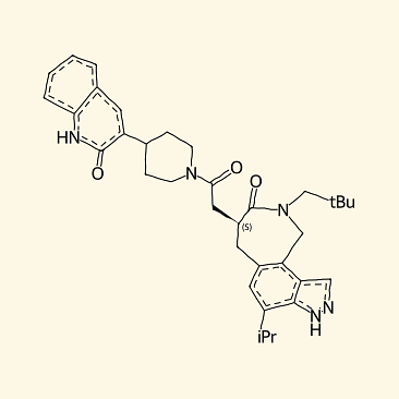 CC(C)c1cc2c(c3cn[nH]c13)CN(CC(C)(C)C)C(=O)[C@H](CC(=O)N1CCC(c3cc4ccccc4[nH]c3=O)CC1)C2